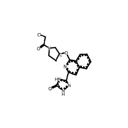 O=C(CCl)N1CC[C@H](Oc2nc(-c3n[nH]c(=O)[nH]3)cc3ccccc23)C1